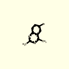 Cc1nc(C)c2cc(Br)ccc2n1